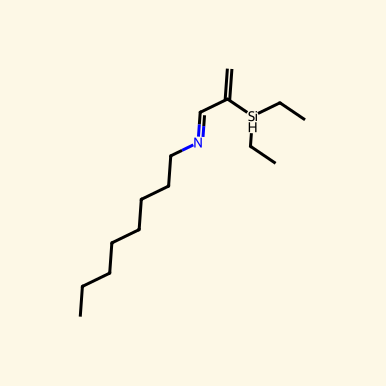 C=C(C=NCCCCCCCC)[SiH](CC)CC